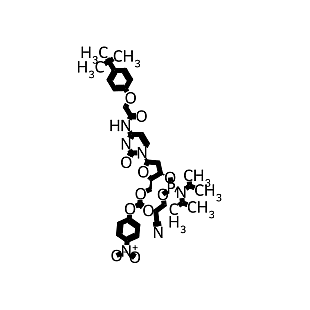 CC(C)N(C(C)C)P(OCCC#N)O[C@H]1C[C@H](n2ccc(NC(=O)COc3ccc(C(C)(C)C)cc3)nc2=O)O[C@@H]1COC(=O)Oc1ccc([N+](=O)[O-])cc1